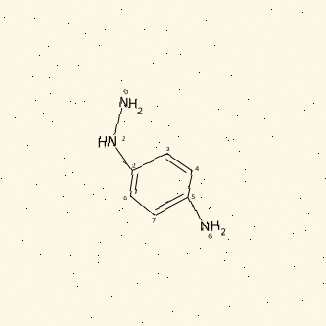 NNc1ccc(N)cc1